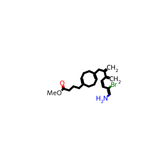 C=C(/C=C\C(Br)=C/N)C(=C)C/C1=C/CC/C(CCCC(=O)OC)=C\CC1